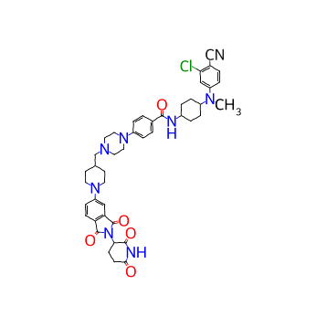 CN(c1ccc(C#N)c(Cl)c1)C1CCC(NC(=O)c2ccc(N3CCN(CC4CCN(c5ccc6c(c5)C(=O)N(C5CCC(=O)NC5=O)C6=O)CC4)CC3)cc2)CC1